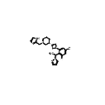 CC(c1c(Cl)cc(Cl)cc1N1CC([C@H]2CCCN(Cc3ncc[nH]3)C2)C1)n1cccn1